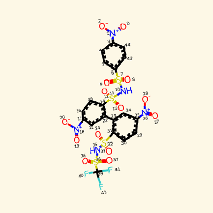 O=[N+]([O-])c1ccc(S(=O)(=O)NS(=O)(=O)c2ccc([N+](=O)[O-])cc2-c2cc([N+](=O)[O-])ccc2S(=O)(=O)NS(=O)(=O)C(F)(F)F)cc1